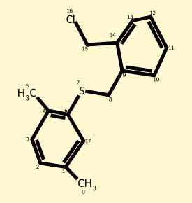 Cc1ccc(C)c(SCc2ccccc2CCl)c1